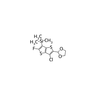 C[Si](C)(C)c1c(F)sc2c(Cl)c(C3OCCO3)sc12